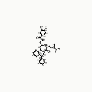 CC(C)NCC[C@@H]1N[C@H](CNC(=O)c2ccc(Cl)c(I)c2)CCN(CC(c2ccccc2)c2ccccc2)C1=O